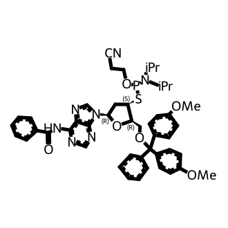 COc1ccc(C(OC[C@H]2O[C@@H](n3cnc4c(NC(=O)c5ccccc5)ncnc43)C[C@@H]2SP(OCCC#N)N(C(C)C)C(C)C)(c2ccccc2)c2ccc(OC)cc2)cc1